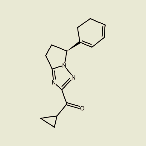 O=C(c1nc2n(n1)[C@H](C1=CC=CCC1)CC2)C1CC1